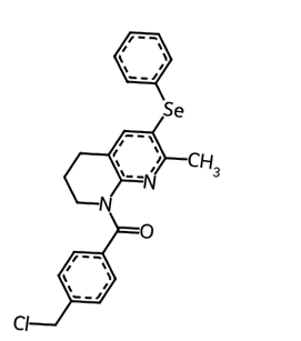 Cc1nc2c(cc1[Se]c1ccccc1)CCCN2C(=O)c1ccc(CCl)cc1